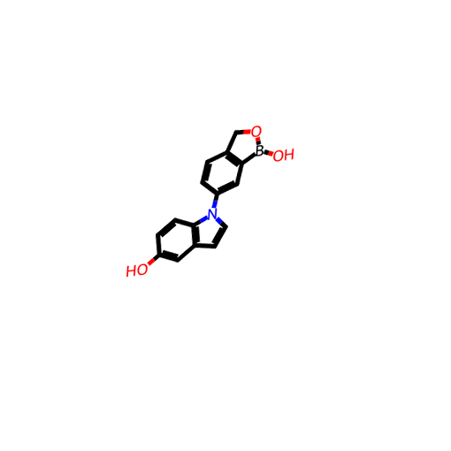 OB1OCc2ccc(-n3ccc4cc(O)ccc43)cc21